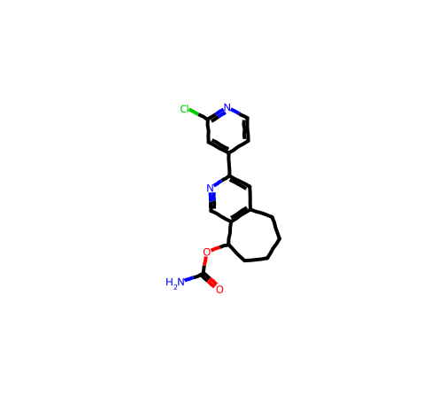 NC(=O)OC1CCCCc2cc(-c3ccnc(Cl)c3)ncc21